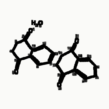 O.O=C1CCC(=O)c2ccccc21.O=C1CCC(=O)c2ccccc21